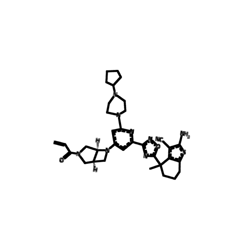 C=CC(=O)N1C[C@@H]2CN(c3cc(-c4noc(C5(C)CCCc6sc(N)c(C#N)c65)n4)nc(N4CCN(C5CCCC5)CC4)c3)[C@@H]2C1